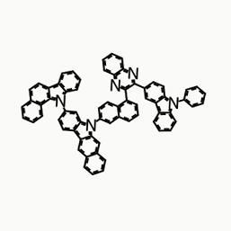 c1ccc(-n2c3ccccc3c3cc(-c4nc5ccccc5nc4-c4cccc5cc(-n6c7cc(-n8c9ccccc9c9ccc%10ccccc%10c98)ccc7c7cc8ccccc8cc76)ccc45)ccc32)cc1